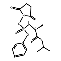 C=C1CCC(=O)N1OP(=O)(N[C@@H](C)C(=O)OC(C)C)Oc1ccccc1